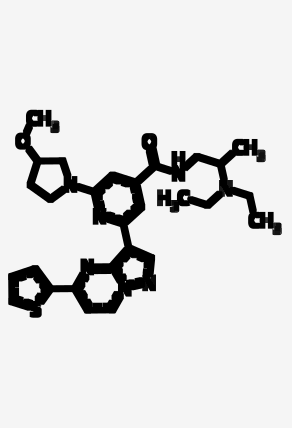 CCN(CC)C(C)CNC(=O)c1cc(-c2cnn3ccc(-c4cccs4)nc23)nc(N2CCC(OC)C2)c1